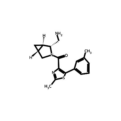 Cc1cccc(-c2sc(C)nc2C(=O)N2C[C@@H]3C[C@H]3[C@@H]2CN)c1